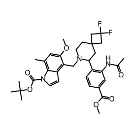 COC(=O)c1ccc(C2CC3(CCN2Cc2c(OC)cc(C)c4c2ccn4C(=O)OC(C)(C)C)CC(F)(F)C3)c(NC(C)=O)c1